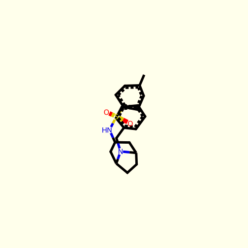 Cc1ccc(S(=O)(=O)NC2CC3CCC(C2)N3Cc2ccccc2)cc1